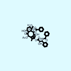 CC(=O)O[C@H]1C(=O)[C@@]2(C)[C@@H]([C@]3(OC(C)=O)CO[C@@H]3C[C@@H]2O)[C@@](C)(OC(=O)c2ccccc2)[C@]2(O)C[C@H](OC(=O)[C@H](O)[C@@H](NC(=O)c3ccccc3)c3ccccc3)C(C)=C1C2(C)C